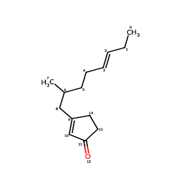 CCC=CCCC(C)CC1=CC(=O)CC1